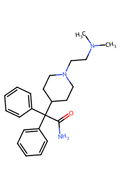 CN(C)CCN1CCC(C(C(N)=O)(c2ccccc2)c2ccccc2)CC1